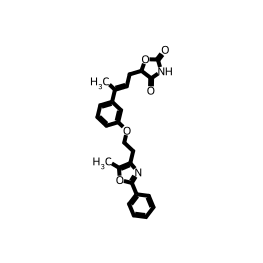 C/C(=C\CC1OC(=O)NC1=O)c1cccc(OCCc2nc(-c3ccccc3)oc2C)c1